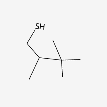 CC(CS)C(C)(C)C